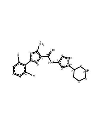 Nc1sc(-c2c(F)cccc2F)nc1C(=O)Nc1cnn(C2CCCNC2)c1